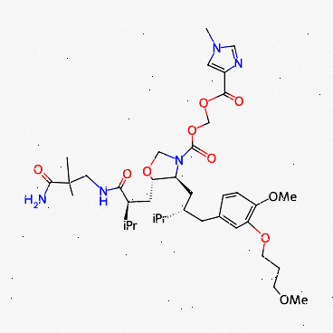 COCCCOc1cc(C[C@@H](C[C@H]2[C@H](C[C@H](C(=O)NCC(C)(C)C(N)=O)C(C)C)OCN2C(=O)OCOC(=O)c2cn(C)cn2)C(C)C)ccc1OC